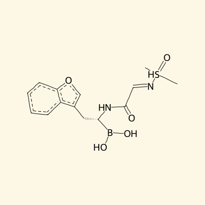 C[SH](C)(=O)N=CC(=O)N[C@@H](Cc1coc2ccccc12)B(O)O